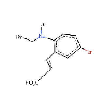 CCN(CC(C)C)c1ccc(Br)cc1C=CC(=O)O